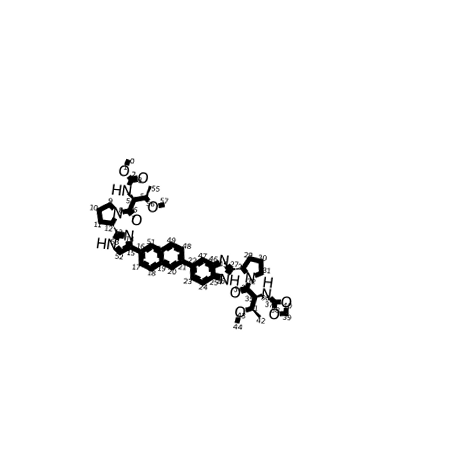 COC(=O)N[C@H](C(=O)N1CCC[C@H]1c1nc(-c2ccc3cc(-c4ccc5[nH]c([C@@H]6CCCN6C(=O)[C@@H](NC6OCO6)[C@@H](C)OC)nc5c4)ccc3c2)c[nH]1)[C@@H](C)OC